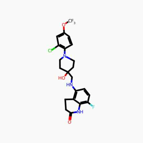 O=C1CCc2c(NCC3(O)CCN(c4ccc(OC(F)(F)F)cc4Cl)CC3)ccc(F)c2N1